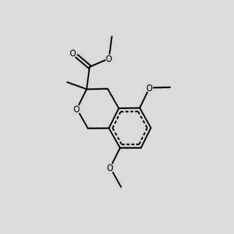 COC(=O)C1(C)Cc2c(OC)ccc(OC)c2CO1